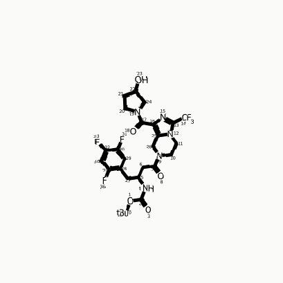 CC(C)(C)OC(=O)NC(CC(=O)N1CCn2c(C(F)(F)F)nc(C(=O)N3CCC(O)C3)c2C1)Cc1cc(F)c(F)cc1F